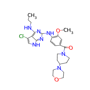 CCCNc1nc(Nc2ccc(C(=O)N3CCC(N4CCOCC4)CC3)cc2OC)nc2[nH]cc(Cl)c12